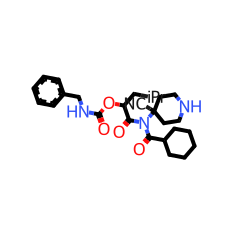 CC(C)CC(OC(=O)NCc1ccccc1)C(=O)N(C(=O)C1CCCCC1)C1(C#N)CCNCC1